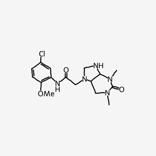 COc1ccc(Cl)cc1NC(=O)CN1CNC2C1CN(C)C(=O)N2C